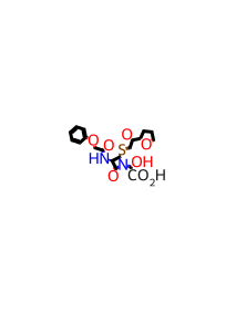 O=C(COc1ccccc1)N[C@@H]1C(=O)N(C(O)C(=O)O)[C@@H]1SCC(=O)C1CCCO1